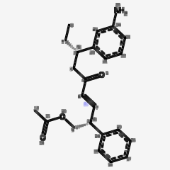 CC[C@@H](CC(=O)/C=C/[C@@H](COC(C)=O)c1ccccc1)c1cccc(N)c1